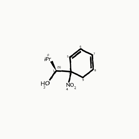 CC(C)[C@H](O)C1([N+](=O)[O-])C=CC=CC1